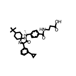 C[C@H](c1ccc(C(=O)NCCC(=O)O)cc1)N1C(=O)C(c2cccc(C3CC3)c2)=NC12CCC(C(C)(C)C)CC2